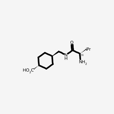 CC(C)[C@H](N)C(=O)NC[C@H]1CC[C@H](C(=O)O)CC1